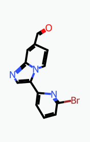 O=Cc1ccn2c(-c3cccc(Br)n3)cnc2c1